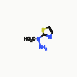 NN(C(=O)O)c1nccs1